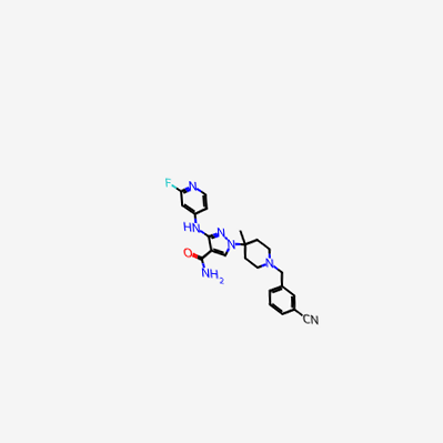 CC1(n2cc(C(N)=O)c(Nc3ccnc(F)c3)n2)CCN(Cc2cccc(C#N)c2)CC1